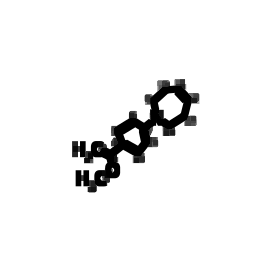 C=C(OC)c1ccc(N2CCC=CCC2)cc1